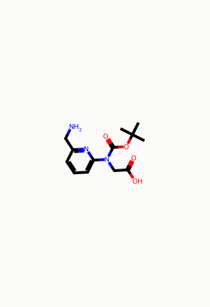 CC(C)(C)OC(=O)N(CC(=O)O)c1cccc(CN)n1